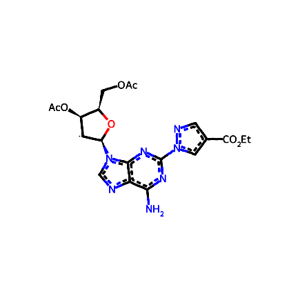 CCOC(=O)c1cnn(-c2nc(N)c3ncn([C@H]4[CH][C@@H](OC(C)=O)[C@@H](COC(C)=O)O4)c3n2)c1